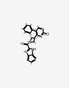 O=C(c1nc2ccccc2[nH]1)N1CC(c2nc(Cl)ncc2-c2ccccc2)C1